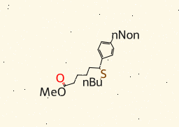 CCCCCCCCCc1ccc(C(CCCCC(=O)OC)SCCCC)cc1